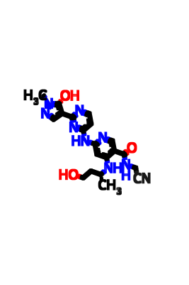 C[C@@H](CCO)Nc1cc(Nc2ccnc(-c3cnn(C)c3O)n2)ncc1C(=O)NCC#N